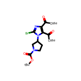 COC(=O)c1nc(Br)n(C2CCN(C(=O)OC(C)(C)C)C2)c1C(=O)OC